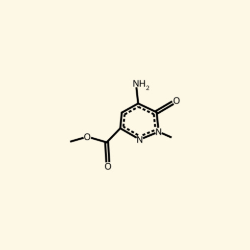 COC(=O)c1cc(N)c(=O)n(C)n1